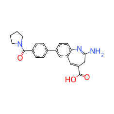 NC1=Nc2ccc(-c3ccc(C(=O)N4CCCC4)cc3)cc2C=C(C(=O)O)C1